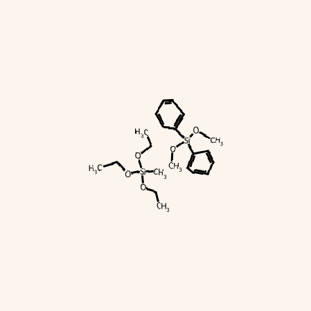 CCO[Si](C)(OCC)OCC.CO[Si](OC)(c1ccccc1)c1ccccc1